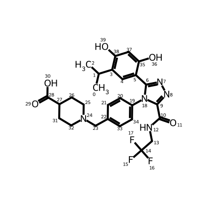 CC(C)c1cc(-c2nnc(C(=O)NCC(F)(F)F)n2-c2ccc(CN3CCC(C(=O)O)CC3)cc2)c(O)cc1O